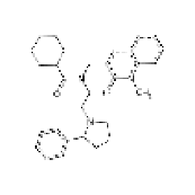 Cn1c(=O)c(CN(CCN2CCCC2c2ccccc2)C(=O)C2CCCCC2)cc2ccccc21